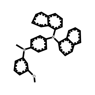 COc1cccc(N(C)c2ccc(N(c3cccc4ccccc34)c3cccc4ccccc34)cc2)c1